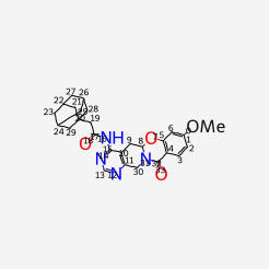 COc1ccc2c(c1)OC1Cc3c(ncnc3NC(=O)CC34CC5CC(CC(C5)C3)C4)CN1C2=O